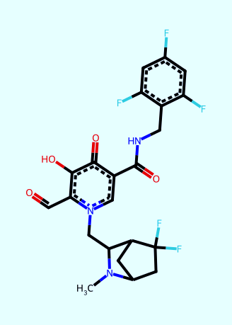 CN1C2CC(C1Cn1cc(C(=O)NCc3c(F)cc(F)cc3F)c(=O)c(O)c1C=O)C(F)(F)C2